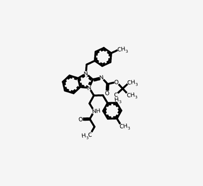 CCC(=O)NCC(Cc1ccc(C)cc1)n1c(=NC(=O)OC(C)(C)C)n(Cc2ccc(C)cc2)c2ccccc21